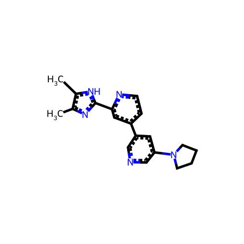 Cc1nc(-c2cc(-c3cncc(N4CCCC4)c3)ccn2)[nH]c1C